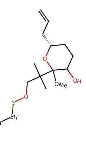 [3H]BSOCC(C)(C)C1(OC)O[C@H](CC=C)CCC1O